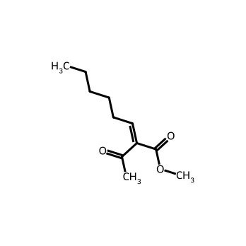 CCCCC/C=C(\C(C)=O)C(=O)OC